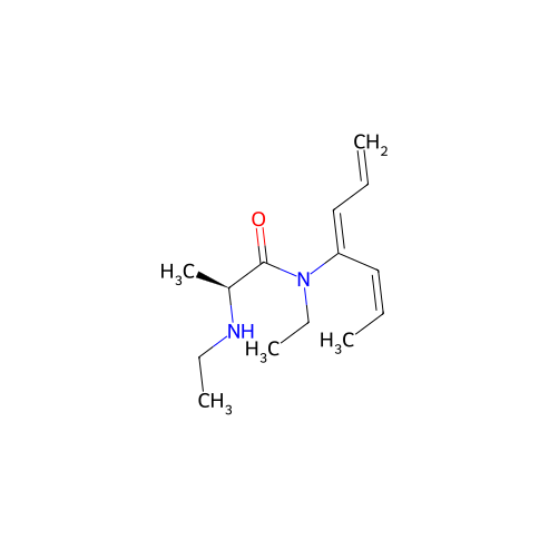 C=C/C=C(\C=C/C)N(CC)C(=O)[C@H](C)NCC